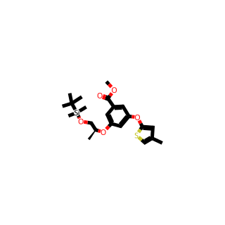 COC(=O)c1cc(Oc2cc(C)cs2)cc(O[C@@H](C)CO[Si](C)(C)C(C)(C)C)c1